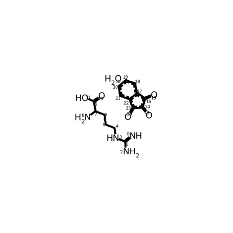 N=C(N)NCCCC(N)C(=O)O.O.O=c1c(=O)c2ccccc2c1=O